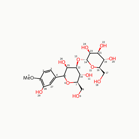 COc1ccc(C2O[C@H](CO)[C@@H](O)[C@H](O[C@H]3O[C@H](CO)[C@@H](O)[C@H](O)[C@@H]3O)[C@@H]2O)cc1O